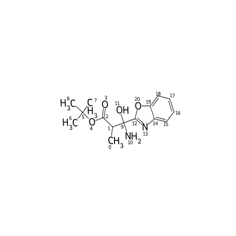 CC(C(=O)OC(C)(C)C)C(N)(O)c1nc2ccccc2o1